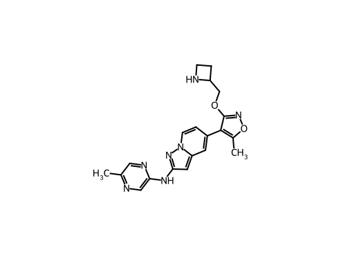 Cc1cnc(Nc2cc3cc(-c4c(OCC5CCN5)noc4C)ccn3n2)cn1